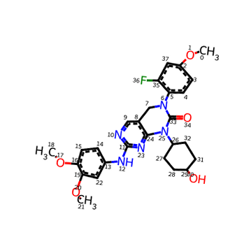 COc1ccc(N2Cc3cnc(Nc4ccc(OC)c(OC)c4)nc3N(C3CCC(O)CC3)C2=O)c(F)c1